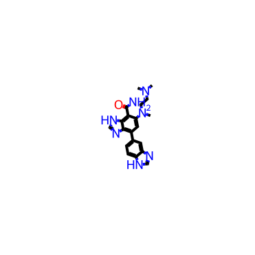 CN(C)CCN(C)c1cc(-c2ccc3[nH]cnc3c2)c2nc[nH]c2c1C(N)=O